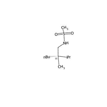 CCCC[C@](C)(CNS(C)(=O)=O)C(C)C